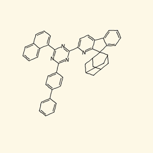 c1ccc(-c2ccc(-c3nc(-c4ccc5c(n4)C4(c6ccccc6-5)C5CC6CC(C5)CC4C6)nc(-c4cccc5ccccc45)n3)cc2)cc1